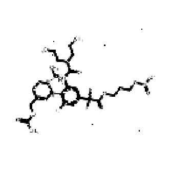 C=C(C)[C@H]1CCC(COC(C)=O)=C[C@@H]1c1c(O)cc(C(F)(F)C(=O)OCCCO[N+](=O)[O-])cc1OC(=O)C(CCC)CCC